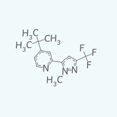 Cn1nc(C(F)(F)F)cc1-c1cc(C(C)(C)C)ccn1